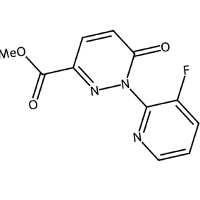 COC(=O)c1ccc(=O)n(-c2ncccc2F)n1